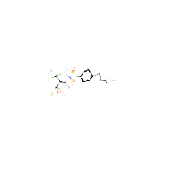 CCCc1ccc(S(=O)(=O)NC(CO)C(C(F)(F)F)C(F)(F)F)cc1